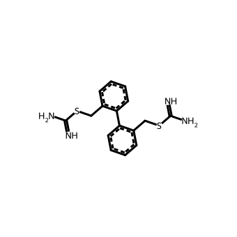 N=C(N)SCc1ccccc1-c1ccccc1CSC(=N)N